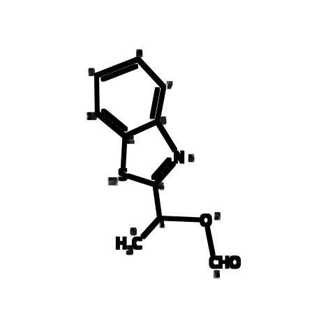 CC(OC=O)c1nc2ccccc2s1